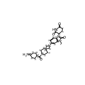 Cn1c(=O)n(C2CCC(=O)NC2=O)c2ccc(N3CC4(CCN(C(=O)C5CCC(N)CC5)CC4)C3)cc21